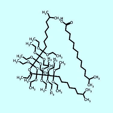 CC(C)CCCCCCCCCCCC(=O)O.CCOC(CCCCCCC(C)C)(OCC)C(OCC)(OCC)C(OCC)(OCC)C(OCC)(OCC)OC(OCC)(OCC)C(OCC)(OCC)C(OCC)(OCC)C(CCCCCCC(C)C)(OCC)OCC